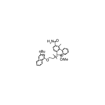 CCCCc1cc2ccccc2c(OCC[N+](C)(C)[C@@H](C(=O)OC)c2ccc(C(N)=O)c(C)c2-c2ccccc2)n1